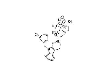 CC1(C)[C@@H](CC(=O)N2CCc3c(n(Cc4cccc(Cl)c4)c4ncccc34)C2)CC[C@@]1(C)C(=O)O